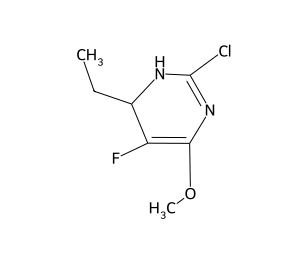 CCC1NC(Cl)=NC(OC)=C1F